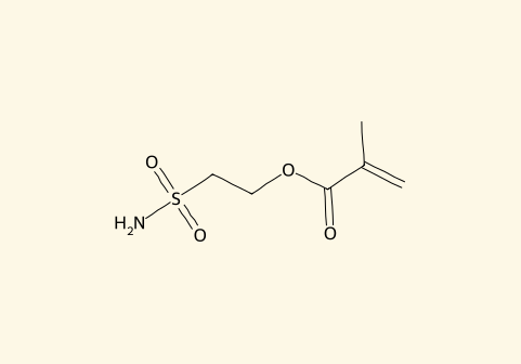 C=C(C)C(=O)OCCS(N)(=O)=O